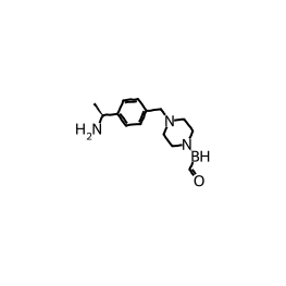 C[C@H](N)c1ccc(CN2CCN(BC=O)CC2)cc1